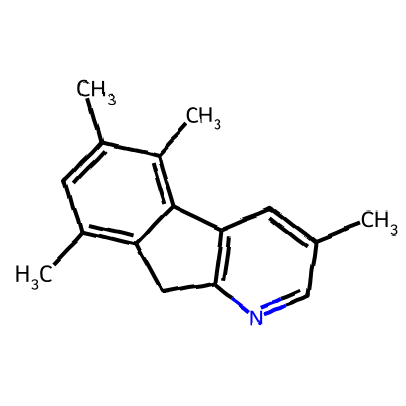 Cc1cnc2c(c1)-c1c(C)c(C)cc(C)c1C2